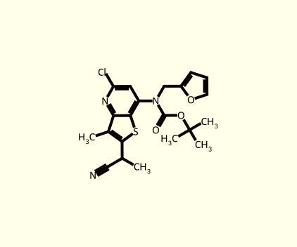 Cc1c(C(C)C#N)sc2c(N(Cc3ccco3)C(=O)OC(C)(C)C)cc(Cl)nc12